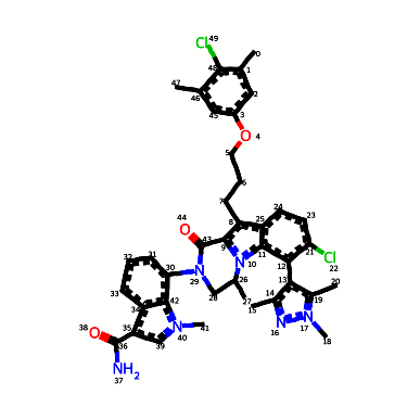 Cc1cc(OCCCc2c3n(c4c(-c5c(C)nn(C)c5C)c(Cl)ccc24)C(C)CN(c2cccc4c(C(N)=O)cn(C)c24)C3=O)cc(C)c1Cl